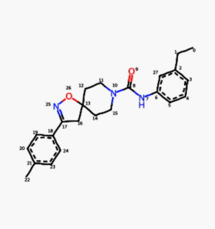 CCc1cccc(NC(=O)N2CCC3(CC2)CC(c2ccc(C)cc2)=NO3)c1